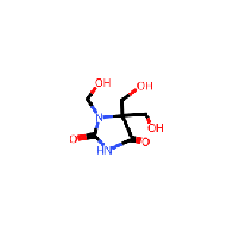 O=C1NC(=O)C(CO)(CO)N1CO